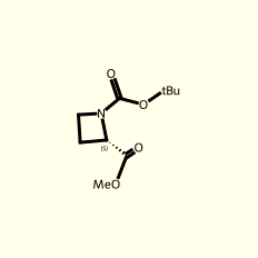 COC(=O)[C@@H]1CCN1C(=O)OC(C)(C)C